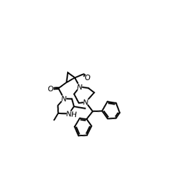 CC1CN(C(=O)C2CC2(C=O)N2CCN(C(c3ccccc3)c3ccccc3)CC2)CC(C)N1